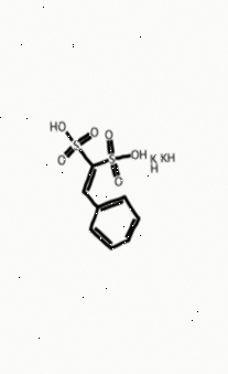 O=S(=O)(O)C(=Cc1ccccc1)S(=O)(=O)O.[KH].[KH]